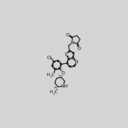 Cc1cc(Cl)cc(-c2ccnc3cc(CN4C(=O)CCC4=O)sc23)c1O[C@H]1CC[C@@H](C)NC1